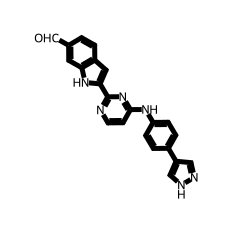 O=Cc1ccc2cc(-c3nccc(Nc4ccc(-c5cn[nH]c5)cc4)n3)[nH]c2c1